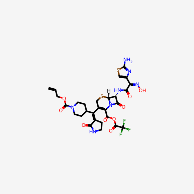 C=CCOC(=O)N1CCC(C(=C2CCNC2=O)C2=C(C(=O)OC(=O)C(F)(F)F)N3C(=O)[C@@H](NC(=O)/C(=N\O)c4csc(N)n4)[C@H]3SC2)CC1